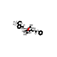 CC1(C)CCOc2c(C(=O)N[C@H]3CN4C(=N)NC(CNC(=O)Oc5ccccc5)C5NC(=N)NC54C3(O)O)cccc21